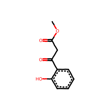 COC(=O)CC(=O)c1ccccc1O